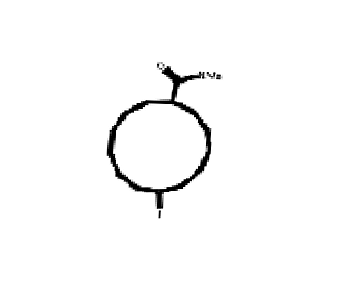 CNC(=O)C1CCCCCCC(I)CCCCC1